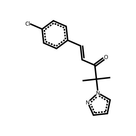 CC(C)(C(=O)C=Cc1ccc(Cl)cc1)n1cccn1